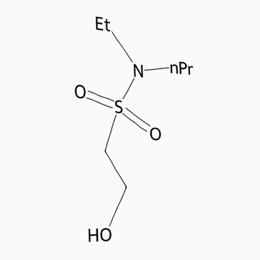 CCCN(CC)S(=O)(=O)CCO